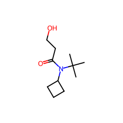 CC(C)(C)N(C(=O)CCO)C1CCC1